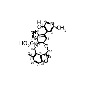 Cc1cc(-c2cc3c(n4cnnc24)N(C(=O)O)Cc2c(F)ccc4c2[C@@H](CO4)CO3)c(C)cn1